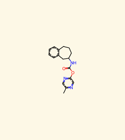 Cc1cnc(OC(=O)NC2CCCc3ccccc3C2)cn1